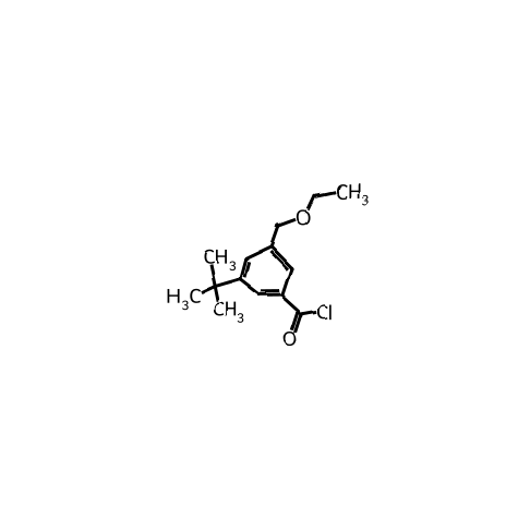 CCOCc1cc(C(=O)Cl)cc(C(C)(C)C)c1